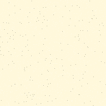 CCCCCCCCCCCCCCCCOOCCO